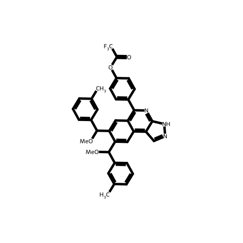 COC(c1cccc(C)c1)c1cc2c(-c3ccc(OC(=O)C(F)(F)F)cc3)nc3[nH]ncc3c2cc1C(OC)c1cccc(C)c1